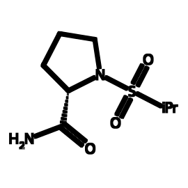 CC(C)S(=O)(=O)N1CCC[C@H]1C(N)=O